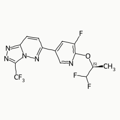 C[C@H](Oc1ncc(-c2ccc3nnc(C(F)(F)F)n3n2)cc1F)C(F)F